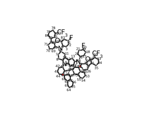 Fc1ccc(N(c2ccc3c(c2)c2cc(N(c4ccc(F)cc4)c4cccc5c4oc4c(C(F)(F)F)cccc45)cc4c2n3-c2ccccc2C42c3ccc4ccccc4c3-c3c2ccc2ccccc32)c2cccc3c2oc2c(C(F)(F)F)cccc23)cc1